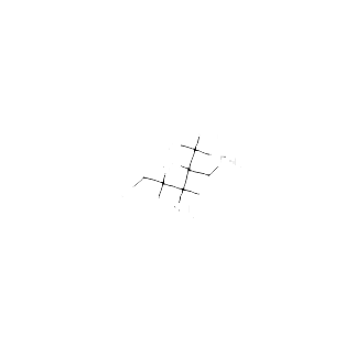 CCC(C)(C)C(C)(N)C(C)(CC)C(C)(C)C